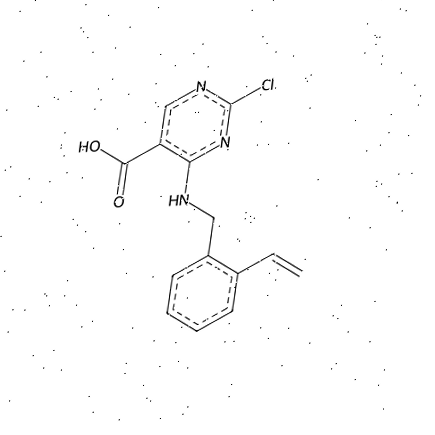 C=Cc1ccccc1CNc1nc(Cl)ncc1C(=O)O